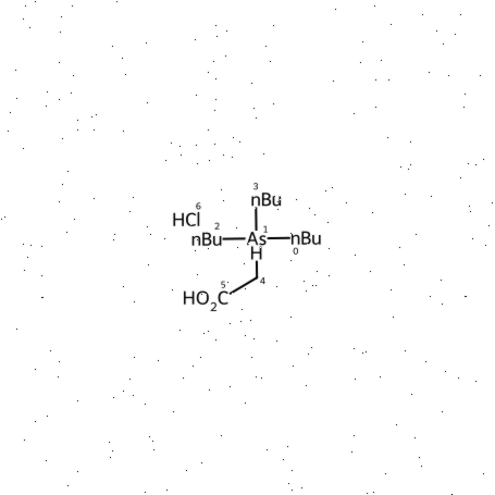 CCCC[AsH](CCCC)(CCCC)CC(=O)O.Cl